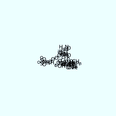 CCC(C)[C@@H]([C@@H](CC(=O)N1CCC[C@H]1[C@H](OC)[C@@H](C)C(=O)N[C@H](C)[C@@H](O)c1ccccc1)OC)N(C)C(=O)[C@@H](NC(=O)[C@H](C(C)C)N(C)C(=O)OCc1ccc(NC(=O)[C@H](CCCNC(N)=O)NC(=O)[C@@H](NC(=O)COCCOCCOCCOc2ccc(N3C(=O)C(Sc4ccccc4)=C(Sc4ccccc4)C3=O)cn2)C(C)C)cc1)C(C)C